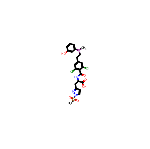 CP(CCc1cc(Cl)c(C(=O)NC(Cc2ccn(S(C)(=O)=O)n2)C(=O)O)c(Cl)c1)c1cccc(O)c1